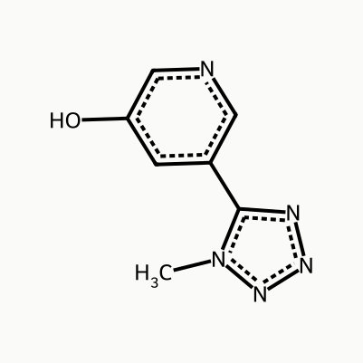 Cn1nnnc1-c1cncc(O)c1